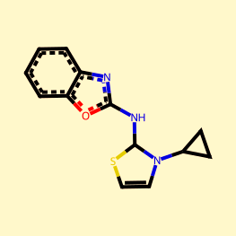 C1=CN(C2CC2)C(Nc2nc3ccccc3o2)S1